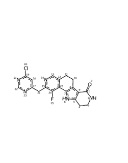 O=C1NCCc2[nH]c3c(c21)CCc1cnc(Cc2cc(Cl)ncn2)c(F)c1-3